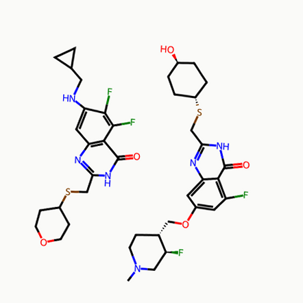 CN1CC[C@H](COc2cc(F)c3c(=O)[nH]c(CS[C@H]4CC[C@H](O)CC4)nc3c2)[C@@H](F)C1.O=c1[nH]c(CSC2CCOCC2)nc2cc(NCC3CC3)c(F)c(F)c12